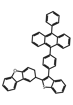 C1=c2oc3ccccc3c2=CC(c2sc3ccccc3c2-c2ccc(-c3c4ccccc4c(-c4ccccc4)c4ccccc34)cc2)C1